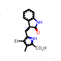 CCc1c(/C=C2\C(=O)Nc3ccccc32)[nH]c(C(=O)O)c1C